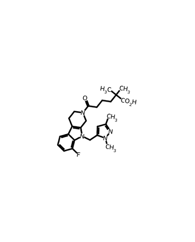 Cc1cc(Cn2c3c(c4cccc(F)c42)CCN(C(=O)CCCC(C)(C)C(=O)O)C3)n(C)n1